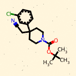 CC(C)(C)OC(=O)N1CCC(CC#N)(c2cccc(Cl)c2)CC1